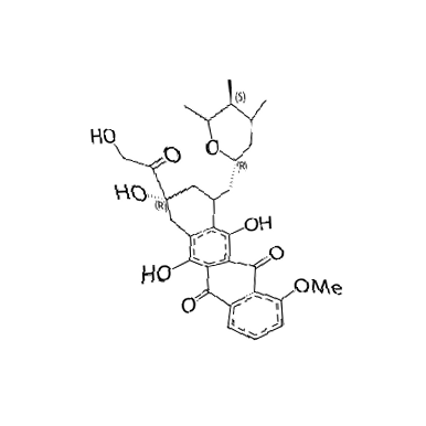 COc1cccc2c1C(=O)c1c(O)c3c(c(O)c1C2=O)C[C@@](O)(C(=O)CO)CC3C[C@H]1CC(C)[C@H](C)C(C)O1